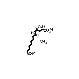 CCCCCCCCCCCCCCCCCC(=O)NC(CCC(=O)O)C(=O)O.[SiH4]